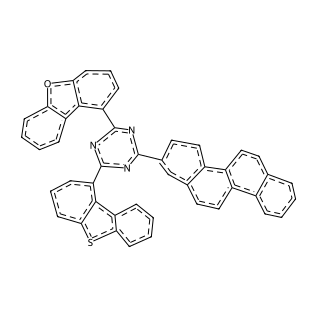 c1ccc2c(c1)ccc1c3ccc(-c4nc(-c5cccc6oc7ccccc7c56)nc(-c5cccc6sc7ccccc7c56)n4)cc3ccc21